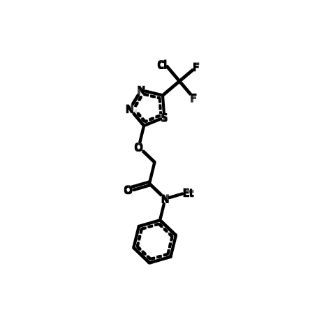 CCN(C(=O)COc1nnc(C(F)(F)Cl)s1)c1ccccc1